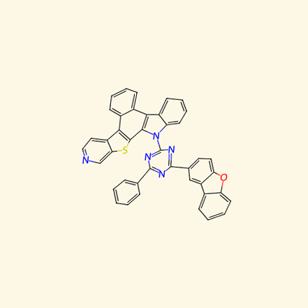 c1ccc(-c2nc(-c3ccc4oc5ccccc5c4c3)nc(-n3c4ccccc4c4c5ccccc5c5c6ccncc6sc5c43)n2)cc1